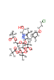 Cc1cc(OCCCCl)ccc1Cc1c(O[C@@H]2O[C@H](COC(=O)C(C)(C)C)[C@@H](OC(=O)C(C)(C)C)[C@H](OC(=O)C(C)(C)C)[C@H]2OC(=O)C(C)(C)C)nn(CCO)c1C(C)C